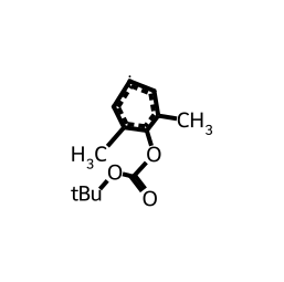 Cc1c[c]cc(C)c1OC(=O)OC(C)(C)C